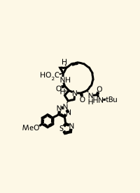 COc1ccc(-c2nn([C@@H]3C[C@H]4C(=O)N[C@]5(C(=O)O)C[C@H]5/C=C\CCCCC[C@H](NC(=O)NC(C)(C)C)C(=O)N4C3)nc2-c2nccs2)cc1